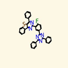 Fc1ccc(-c2nc(-c3ccccc3)nc(-c3ccccc3)n2)cc1-c1nc(-c2ccccc2)c2sc3ccccc3c2n1